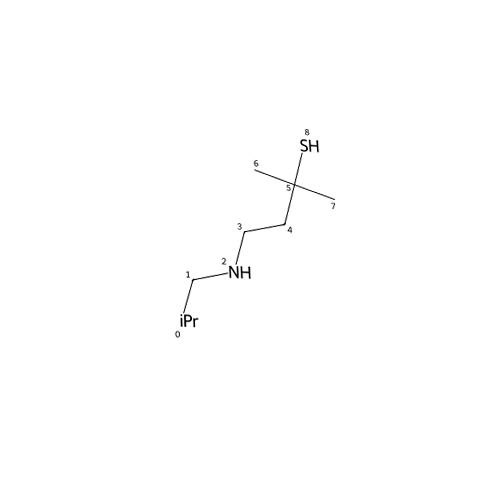 CC(C)CNCCC(C)(C)S